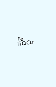 [Cr].[Cu].[Fe].[Ti]